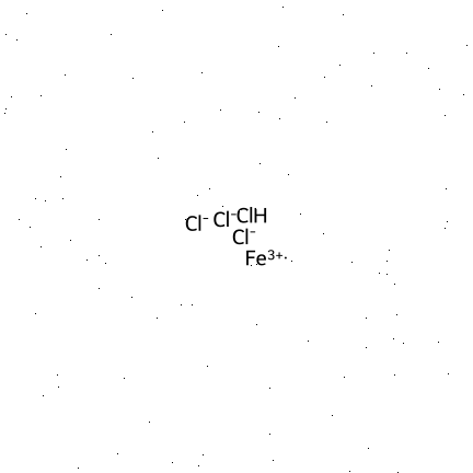 Cl.[Cl-].[Cl-].[Cl-].[Fe+3]